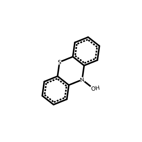 ON1c2ccccc2Sc2ccccc21